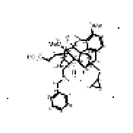 COc1ccc2c3c1O[C@H]1[C@@]4(OC)CC[C@@]5([C@@H](COCc6ccccc6)[C@@H]4CCC(=O)O)[C@@H](C2)N(CC2CC2)CC[C@]315